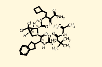 C=C(C)NC(=O)[C@@H](NC(=O)N[C@H](C(=O)N1C[C@H]2[C@@H]([C@H]1C(=O)NC(CC1CCC1)C(=O)C(N)=O)C2(Cl)Cl)C1Cc2ccccc2C1)C(C)(C)C